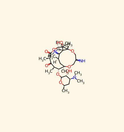 CC[C@H]1OC(=O)[C@H](C)C(=O)[C@H](C)[C@@H](OC2O[C@H](C)C[C@H](N(C)C)[C@H]2O)[C@@]2(C)C[C@@H](C)/C(=N\C(C)=O)[C@H](C)[C@@H](OCC(=N)CO2)[C@]1(C)O